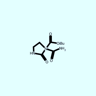 CC(C)COC(=O)[N+]1(C(N)=O)CCNC1=O